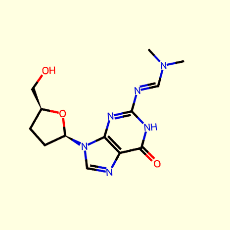 CN(C)/C=N/c1nc2c(ncn2[C@H]2CC[C@@H](CO)O2)c(=O)[nH]1